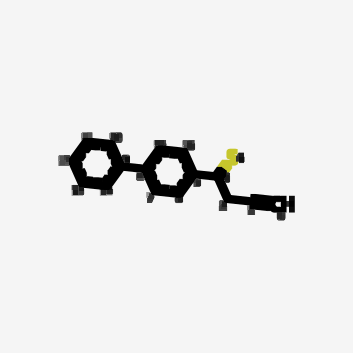 C#CCC(=S)c1ccc(-c2ccccc2)cc1